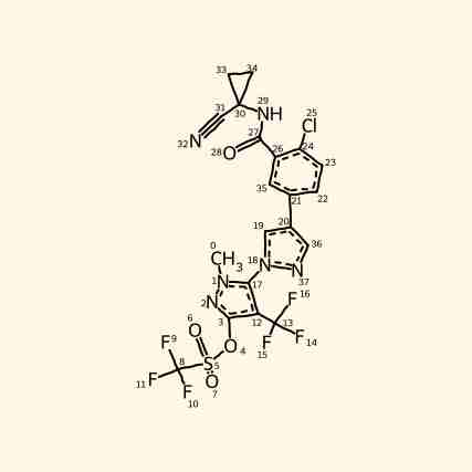 Cn1nc(OS(=O)(=O)C(F)(F)F)c(C(F)(F)F)c1-n1cc(-c2ccc(Cl)c(C(=O)NC3(C#N)CC3)c2)cn1